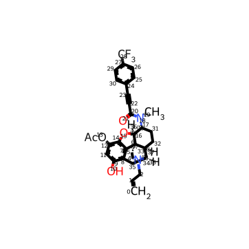 C=CCN1CC[C@]23c4c5c(O)cc(OC(C)=O)c4O[C@H]2[C@@H](N(C)C(=O)C#Cc2ccc(C(F)(F)F)cc2)CC[C@H]3[C@H]1C5